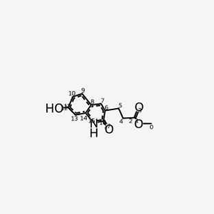 COC(=O)CCc1cc2ccc(O)cc2[nH]c1=O